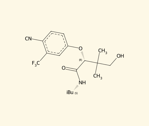 [C-]#[N+]c1ccc(O[C@@H](C(=O)N[C@@H](C)CC)C(C)(C)CO)cc1C(F)(F)F